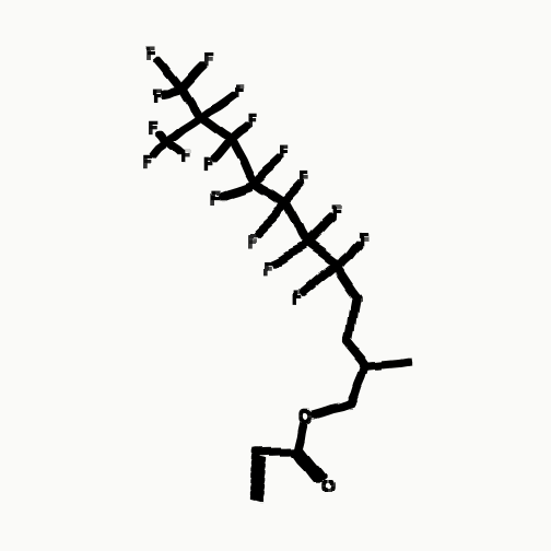 C=CC(=O)OCC(C)CCC(F)(F)C(F)(F)C(F)(F)C(F)(F)C(F)(F)C(F)(C(F)(F)F)C(F)(F)F